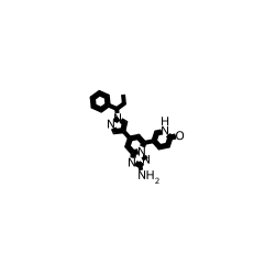 CCC(c1ccccc1)n1cc(-c2cc(-c3ccc(=O)[nH]c3)n3nc(N)nc3c2)cn1